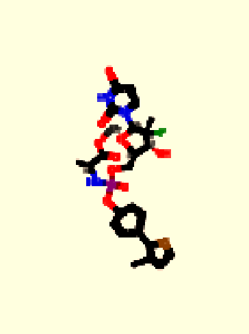 Cc1ccsc1-c1ccc(OP(=O)(N[C@@H](C)C(=O)OC(C)C)OC[C@H]2O[C@@H](n3ccc(=O)[nH]c3=O)[C@](C)(F)[C@@H]2O)cc1